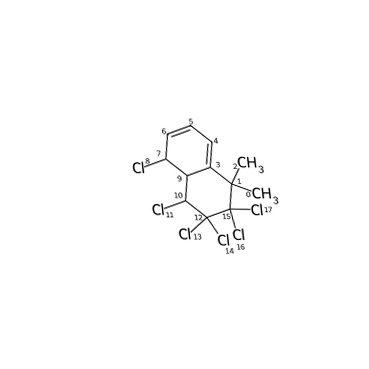 CC1(C)C2=CC=CC(Cl)C2C(Cl)C(Cl)(Cl)C1(Cl)Cl